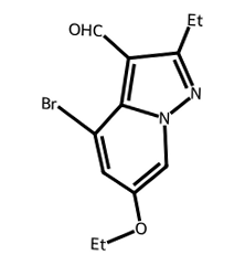 CCOc1cc(Br)c2c(C=O)c(CC)nn2c1